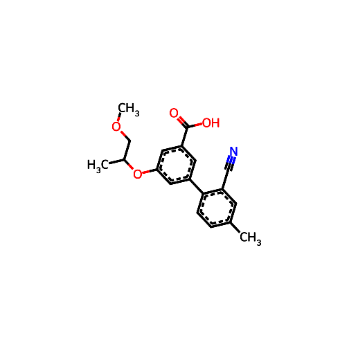 COCC(C)Oc1cc(C(=O)O)cc(-c2ccc(C)cc2C#N)c1